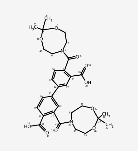 CC1(C)OCCN(C(=O)c2ccc(-c3ccc(C(=O)O)c(C(=O)N4CCOC(C)(C)OCC4)c3)cc2C(=O)O)CCO1